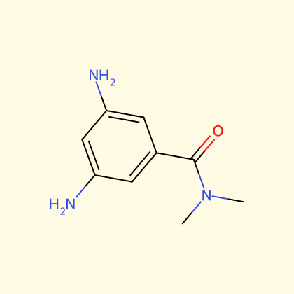 CN(C)C(=O)c1cc(N)cc(N)c1